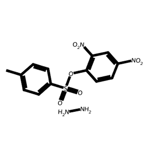 Cc1ccc(S(=O)(=O)Oc2ccc([N+](=O)[O-])cc2[N+](=O)[O-])cc1.NN